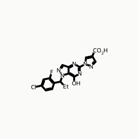 CCC(c1ccc(Cl)cc1F)n1ncc2nc(-n3cc(C(=O)O)cn3)nc(O)c21